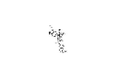 CC(C)(CF)c1nc(-n2c3nc(Nc4ccc5c(c4)CCNC5)ncc3c(=O)n2C2CC2)ccc1F